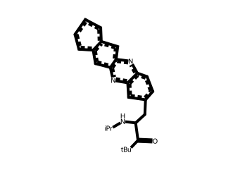 CC(C)NC(Cc1ccc2nc3cc4ccccc4cc3nc2c1)C(=O)C(C)(C)C